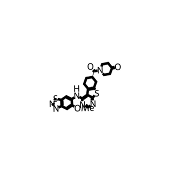 COc1cc2nnsc2cc1Nc1ncnc2sc3c(c12)CC[C@H](C(=O)N1CCC(=O)CC1)C3